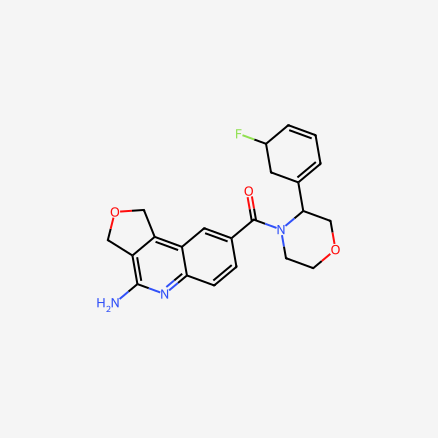 Nc1nc2ccc(C(=O)N3CCOCC3C3=CC=CC(F)C3)cc2c2c1COC2